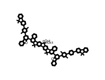 CCCCCCCCC1(CCCCCCCC)c2cc3c(cc2-c2cc4c(cc21)-c1c(cc(-c2cc(-c5cc(C)c(-c6ccc7c(c6)C(C)(C)c6ccccc6-7)cc5C)cc5c2oc2ccccc25)c2ccccc12)C4(C)C)C(C)(C)c1cc(-c2cc(-c4cc(C)c(-c5ccc(-c6ccc7c(c6)C(C)(C)c6ccccc6-7)cc5)cc4C)cc4c2oc2ccccc24)c2ccccc2c1-3